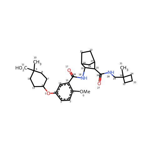 COc1ccc(OC2CCC(C)(C(=O)O)CC2)cc1C(=O)NC1C2CCC(C2)C1C(=O)NCC1(C)CCC1